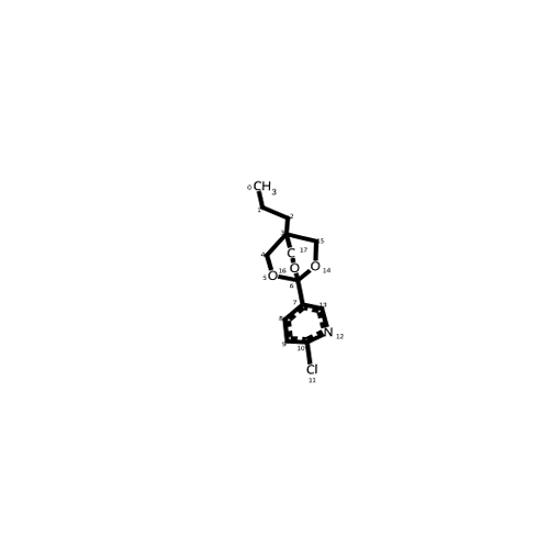 CCCC12COC(c3ccc(Cl)nc3)(OC1)OC2